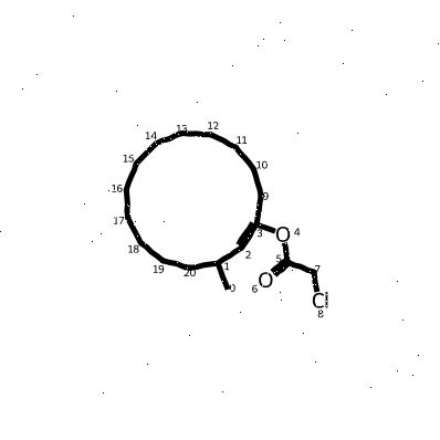 CC1C=C(OC(=O)CCl)CCCCCCCCCCCC1